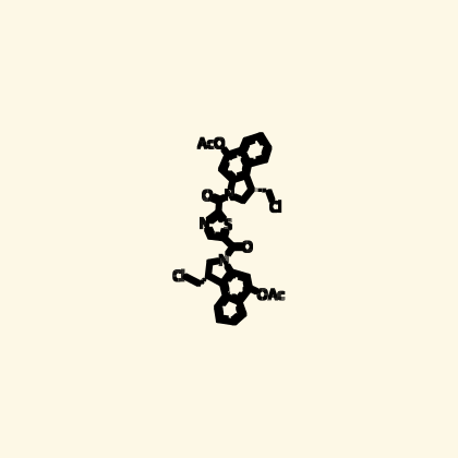 CC(=O)Oc1cc2c(c3ccccc13)[C@H](CCl)CN2C(=O)c1cnc(C(=O)N2C[C@@H](CCl)c3c2cc(OC(C)=O)c2ccccc32)s1